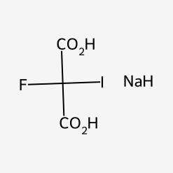 O=C(O)C(F)(I)C(=O)O.[NaH]